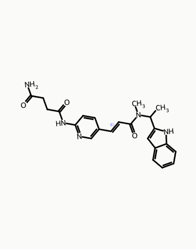 CC(c1cc2ccccc2[nH]1)N(C)C(=O)/C=C/c1ccc(NC(=O)CCC(N)=O)nc1